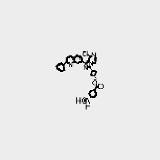 O=C(OC[C@H]1C[C@@H](c2nc(-c3ccc4ccc(-c5ccccc5)nc4c3)c3c(Cl)nccn32)C1)c1ccc(NO)cc1